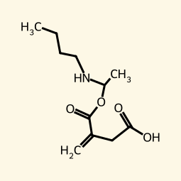 C=C(CC(=O)O)C(=O)OC(C)NCCCC